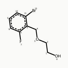 OCCOCc1c(F)cccc1Br